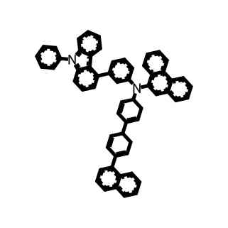 C1=CC(C2=CCC(N(c3cccc(-c4cccc5c4c4ccccc4n5-c4ccccc4)c3)c3cc4ccccc4c4ccccc34)C=C2)CC=C1c1cccc2ccccc12